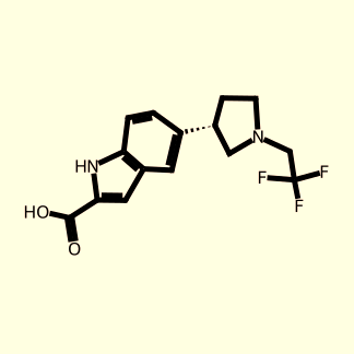 O=C(O)c1cc2cc([C@@H]3CCN(CC(F)(F)F)C3)ccc2[nH]1